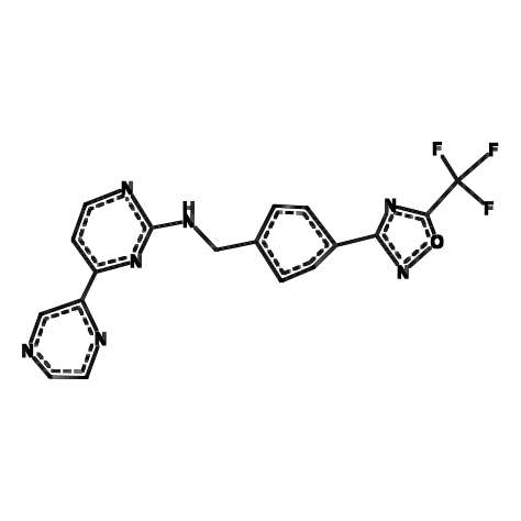 FC(F)(F)c1nc(-c2ccc(CNc3nccc(-c4cnccn4)n3)cc2)no1